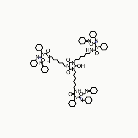 O=C1N(CCCCCCNC(=O)N(/C(=N/C2CCCCC2)ON=C2CCCCC2)C2CCCCC2)C(=O)N(CCCCCCNC(=O)N(/C(=N/C2CCCCC2)ON=C2CCCCC2)C2CCCCC2)C(O)N1CCCCCCNC(=O)N(/C(=N/C1CCCCC1)OCN=C1CCCCC1)C1CCCCC1